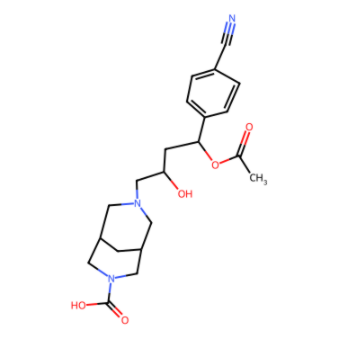 CC(=O)OC(CC(O)CN1CC2CC(C1)CN(C(=O)O)C2)c1ccc(C#N)cc1